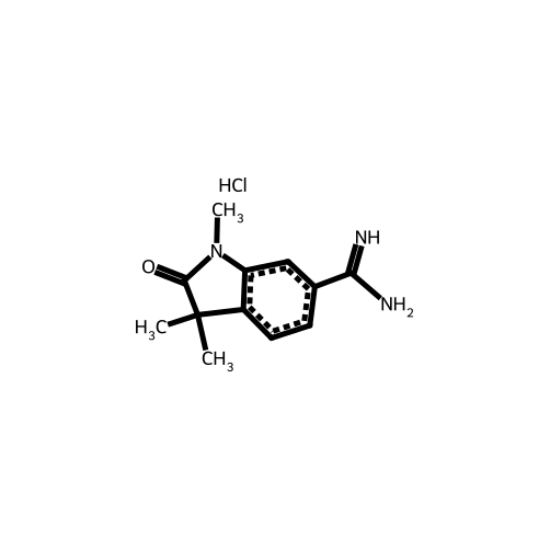 CN1C(=O)C(C)(C)c2ccc(C(=N)N)cc21.Cl